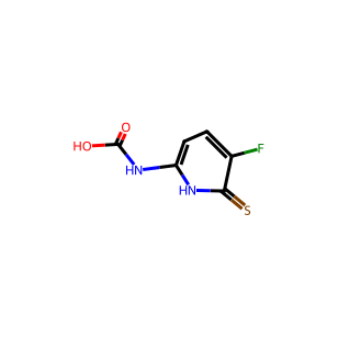 O=C(O)Nc1ccc(F)c(=S)[nH]1